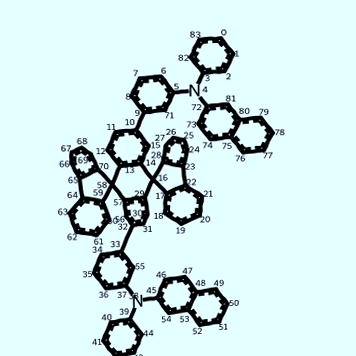 c1ccc(N(c2cccc(-c3ccc4c(c3)C3(c5ccccc5-c5ccccc53)c3ccc(-c5cccc(N(c6ccccc6)c6ccc7ccccc7c6)c5)cc3C43c4ccccc4-c4ccccc43)c2)c2ccc3ccccc3c2)cc1